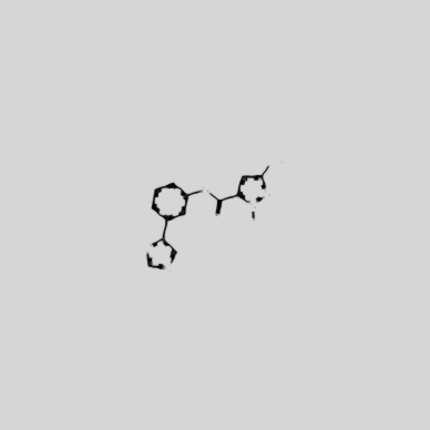 Cn1nc(C(C)(C)C)cc1C(=O)Nc1cccc(-c2cnco2)c1